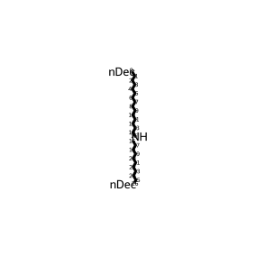 CCCCCCCCCCCCCCCCCCCCCCCCNCCCCCCCCCCCCCCCCCCCC